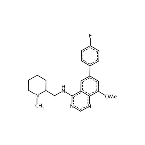 COc1cc(-c2ccc(F)cc2)cc2c(NCC3CCCCN3C)ncnc12